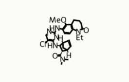 CCN1C(=O)CCCc2c1ccc(Nc1ncc(Cl)c(N[C@@H]3[C@H](C(=O)N(C)C)[C@H]4C=C[C@@H]3C4)n1)c2OC